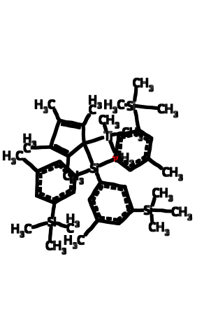 CC1=C(C)[C]([Si](c2cc(C)cc([Si](C)(C)C)c2)(c2cc(C)cc([Si](C)(C)C)c2)c2cc(C)cc([Si](C)(C)C)c2)([Ti]([CH3])([CH3])[CH3])C(C)=C1C